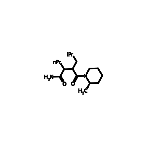 CCCC(C(N)=O)C(CC(C)C)C(=O)N1CCCC[C@H]1C